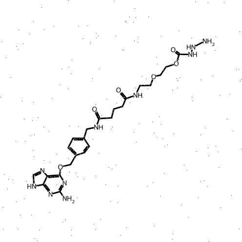 NNNC(=O)OCCOCCNC(=O)CCCC(=O)NCc1ccc(COc2nc(N)nc3[nH]cnc23)cc1